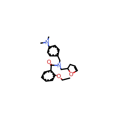 CCOc1ccccc1C(=O)N(Cc1ccc(N(C)C)cc1)CC1CC=CO1